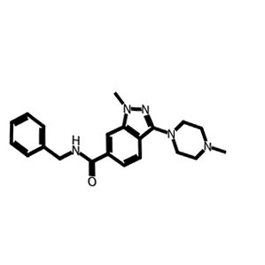 CN1CCN(c2nn(C)c3cc(C(=O)NCc4ccccc4)ccc23)CC1